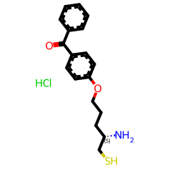 Cl.N[C@H](CS)CCCOc1ccc(C(=O)c2ccccc2)cc1